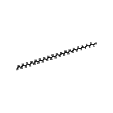 CCCCCCCCCCCCCCCC[CH]CCCCCCCCCCCCCCCCCCCCC